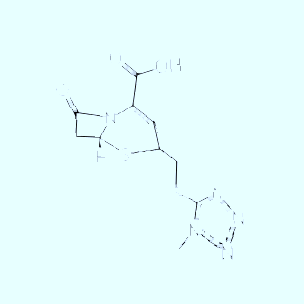 Cn1nnnc1SCC1C=C(C(=O)O)N2C(=O)C[C@H]2S1